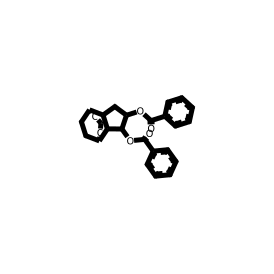 O=C(OC1CC2C3CCCC(CC3)C2C1OC(=O)c1ccccc1)c1ccccc1